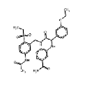 CCOc1cccc(C(Nc2cccc(C(N)=O)c2)C(=O)NCc2cc(NC(C)=O)ccc2S(=O)(=O)CC)c1